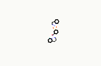 Cc1cc(F)c2c(c1)CCCN2C(=O)c1cccc(S(=O)(=O)N2CCc3ccccc32)c1